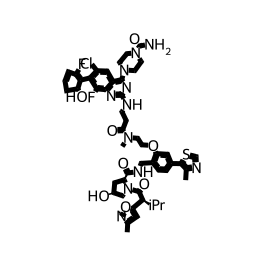 Cc1cc([C@@H](C(=O)N2C[C@H](O)C[C@H]2C(=O)NCc2ccc(-c3scnc3C)cc2OCCN(C)C(=O)CCNc2nc(N3CCN(C(N)=O)CC3)c3cc(Cl)c(C4=C(F)C=CCC4O)c(F)c3n2)C(C)C)on1